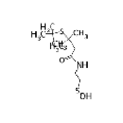 CC(C)(C)SC(C)(C)CC(=O)NCCSO